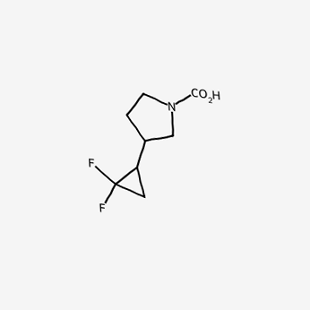 O=C(O)N1CCC(C2CC2(F)F)C1